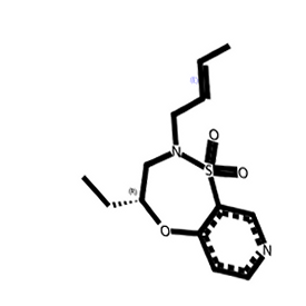 C/C=C/CN1C[C@@H](CC)Oc2ccncc2S1(=O)=O